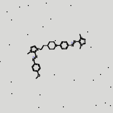 COc1ccc(/N=N/c2n(C)cc[n+]2CCC2CCN(c3ccc(/N=N/c4n(C)cc[n+]4C)cc3)CC2)cc1